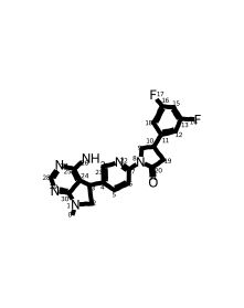 CN1CC(c2ccc(N3CC(c4cc(F)cc(F)c4)CC3=O)nc2)c2c(N)ncnc21